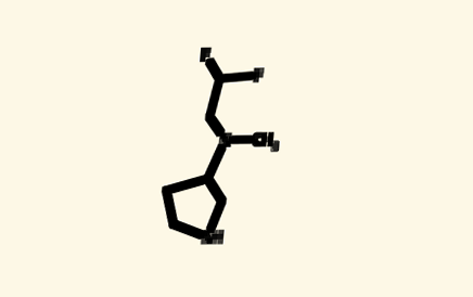 CN(CC(F)F)C1CCNC1